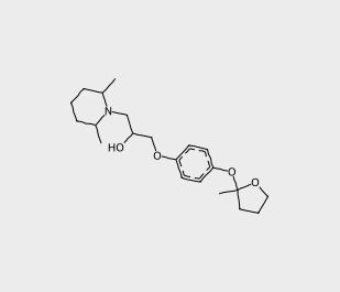 CC1CCCC(C)N1CC(O)COc1ccc(OC2(C)CCCO2)cc1